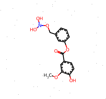 COc1cc(C(=O)Oc2cccc(CON(O)O)c2)ccc1O